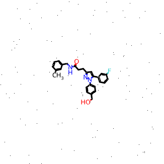 Cc1cccc(CNC(=O)CCc2cc(-c3cccc(F)c3)n(-c3ccc(CO)cc3)n2)c1